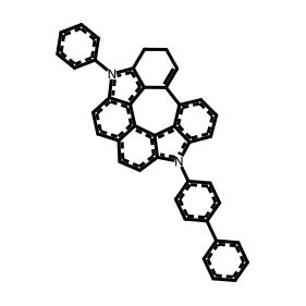 C1=C2c3c(n(-c4ccccc4)c4ccc5ccc6c(c7c2cccc7n6-c2ccc(-c6ccccc6)cc2)c5c34)CC1